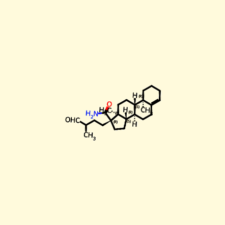 CC(C=O)CC[C@]1(C(N)=O)CC[C@H]2[C@@H]3CCC4=CCCC[C@]4(C)[C@H]3CC[C@@]21C